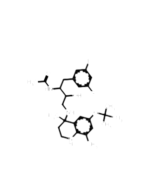 CC(=O)NC(Cc1cc(F)cc(F)c1)C(O)CNC1(C)CCNc2c(C)cc(OC(C)(C)C)cc21